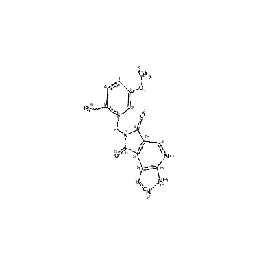 COc1ccc(Br)c(CN2C(=O)c3cnc4[nH]ncc4c3C2=O)c1